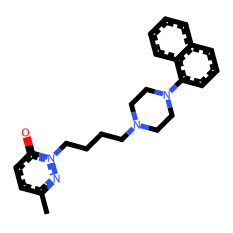 Cc1ccc(=O)n(CCCCN2CCN(c3cccc4ccccc34)CC2)n1